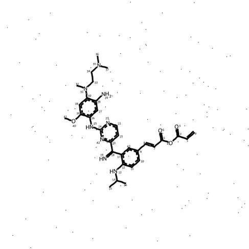 C=CC(=O)OC(=O)/C=C/c1ccc(NC(C)C)c(C(=N)c2ccnc(Nc3cc(N)c(N(C)CCN(C)C)cc3OC)n2)c1